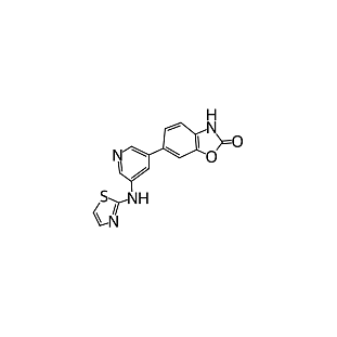 O=c1[nH]c2ccc(-c3cncc(Nc4nccs4)c3)cc2o1